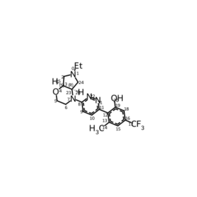 CCN1C[C@@H]2OCCN(c3ccc(-c4c(C)cc(C(F)(F)F)cc4O)nn3)[C@@H]2C1